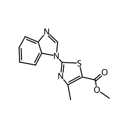 COC(=O)c1sc(-n2cnc3ccccc32)nc1C